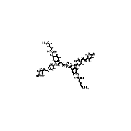 CCCCNC(=O)Cc1ccc2c(OC(=O)C(=O)Oc3cn(C4CCN(CCc5ccc(F)cc5)CC4)c4cc(CC(=O)NCCCC)ccc34)cn(C3CCN(CCc4ccc(F)cc4)CC3)c2c1